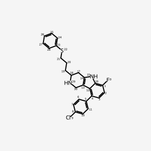 Fc1ccc(-c2ccc(Cl)cc2)c2c3c([nH]c12)CC(CCCSc1ccccc1)NC3